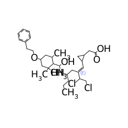 CCCC(C/C(=C\C1CC1CC(=O)O)C(Cl)CCl)NC(O)C1C(C)CC(OCCc2ccccc2)CC1(C)C